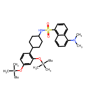 CN(C)c1cccc2c(S(=O)(=O)NC3CCC(c4ccc(O[Si](C)(C)C(C)(C)C)cc4O[Si](C)(C)C(C)(C)C)CC3)cccc12